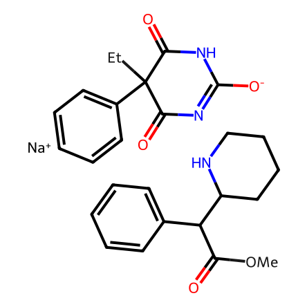 CCC1(c2ccccc2)C(=O)N=C([O-])NC1=O.COC(=O)C(c1ccccc1)C1CCCCN1.[Na+]